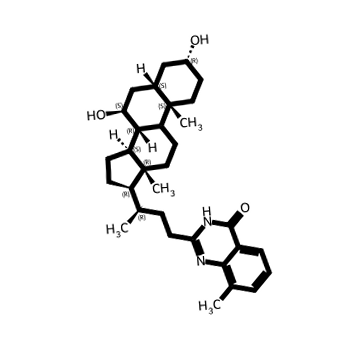 Cc1cccc2c(=O)[nH]c(CC[C@@H](C)[C@H]3CC[C@H]4[C@H]5C(CC[C@]34C)[C@@]3(C)CC[C@@H](O)C[C@H]3C[C@@H]5O)nc12